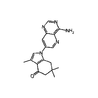 Cc1cn(-c2cnc3c(N)ncnc3c2)c2c1C(=O)CC(C)(C)C2